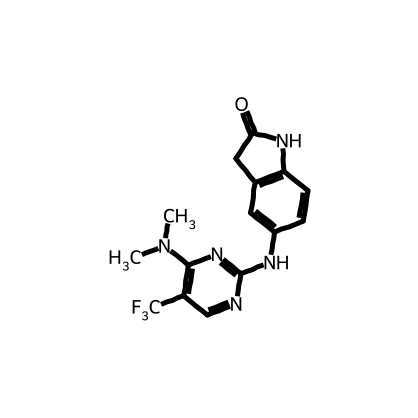 CN(C)c1nc(Nc2ccc3c(c2)CC(=O)N3)ncc1C(F)(F)F